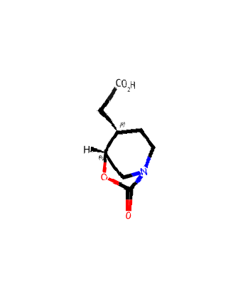 O=C(O)C[C@H]1CCN2C[C@@H]1OC2=O